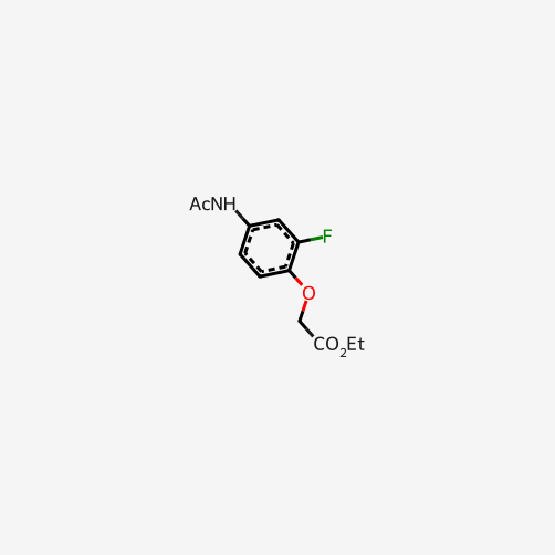 CCOC(=O)COc1ccc(NC(C)=O)cc1F